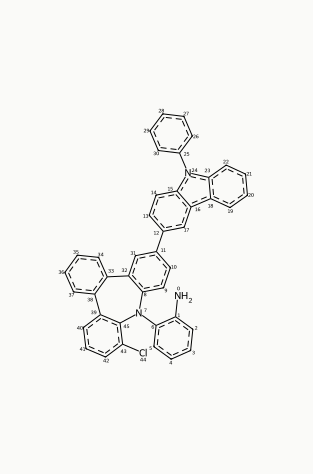 Nc1ccccc1N1c2ccc(-c3ccc4c(c3)c3ccccc3n4-c3ccccc3)cc2-c2ccccc2-c2cccc(Cl)c21